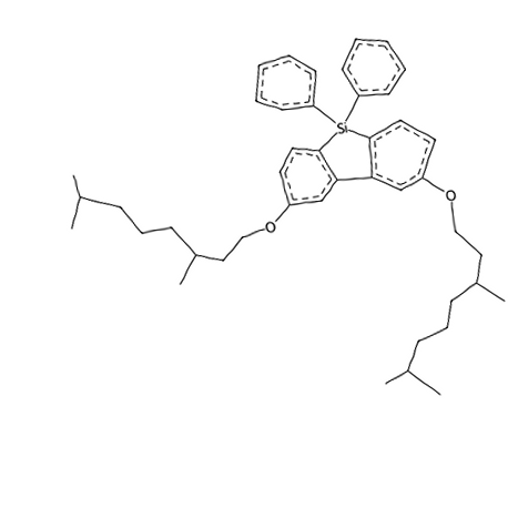 CC(C)CCCC(C)CCOc1ccc2c(c1)-c1cc(OCCC(C)CCCC(C)C)ccc1[Si]2(c1ccccc1)c1ccccc1